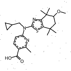 COC1CC(C)(C)c2sc(N(CC3CC3)c3ccc(C(=O)O)c(C)n3)nc2C1(C)C